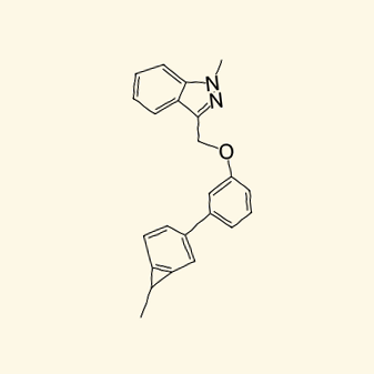 CC1c2ccc(-c3cccc(OCc4nn(C)c5ccccc45)c3)cc21